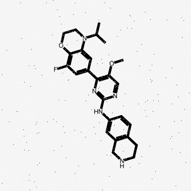 COc1cnc(Nc2ccc3c(c2)CNCC3)nc1-c1cc(F)c2c(c1)N(C(C)C)CCO2